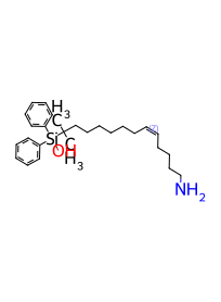 CC(C)(CCCCCC/C=C\CCCCN)[Si](O)(c1ccccc1)c1ccccc1